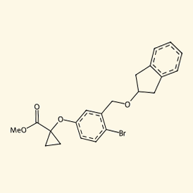 COC(=O)C1(Oc2ccc(Br)c(COC3Cc4ccccc4C3)c2)CC1